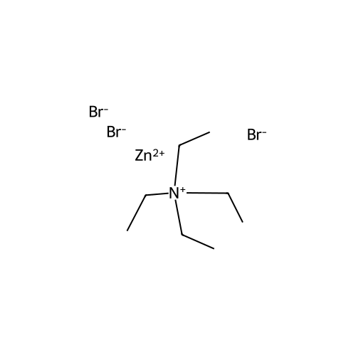 CC[N+](CC)(CC)CC.[Br-].[Br-].[Br-].[Zn+2]